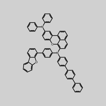 c1ccc(-c2ccc(-c3ccc(N(c4ccc(-c5cccc6c5oc5ccccc56)cc4)c4ccc5cccc6c5c4Oc4ccc(N(c5ccccc5)c5ccccc5)cc4-6)cc3)cc2)cc1